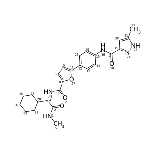 CNC(=O)[C@@H](NC(=O)c1ccc(-c2ccc(NC(=O)c3cc(C)[nH]n3)cc2)o1)C1CCCCC1